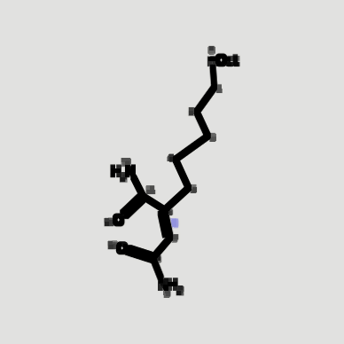 CCCCCCCCCCCCC/C(=C/C(N)=O)C(N)=O